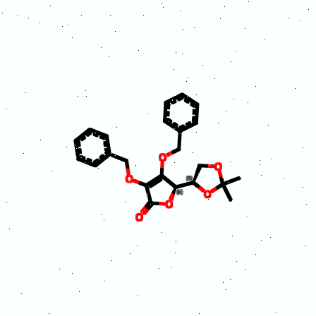 CC1(C)OC[C@H]([C@H]2OC(=O)C(OCc3ccccc3)=C2OCc2ccccc2)O1